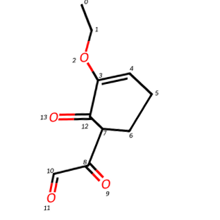 CCOC1=CCCC(C(=O)C=O)C1=O